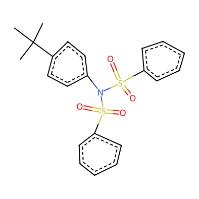 CC(C)(C)c1ccc(N(S(=O)(=O)c2ccccc2)S(=O)(=O)c2ccccc2)cc1